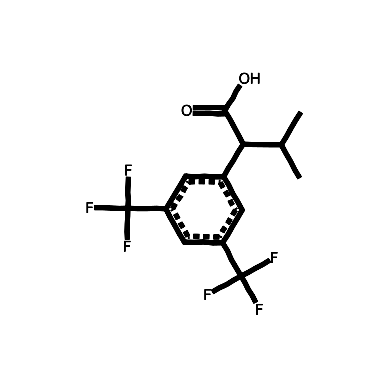 CC(C)C(C(=O)O)c1cc(C(F)(F)F)cc(C(F)(F)F)c1